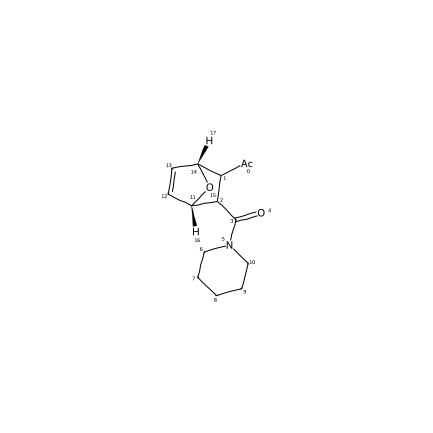 CC(=O)C1C(C(=O)N2CCCCC2)[C@@H]2C=C[C@H]1O2